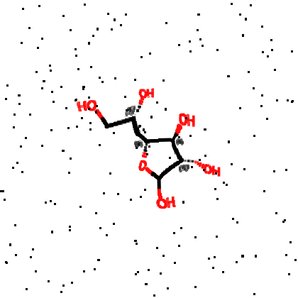 OC[C@H](O)[C@H]1OC(O)[C@@H](O)[C@@H]1O